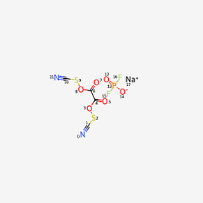 N#CSOC(=O)C(=O)OSC#N.O=P([O-])(F)F.[Na+]